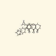 O=C1CCCC(O)=C1C(=O)c1cnc(C2CC2)n(C2CCC3(CC2)OCCO3)c1=O